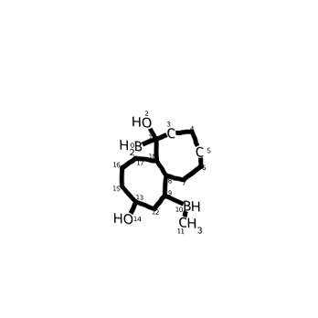 BC1(O)CCCCCC2C(BC)CC(O)CCCC21